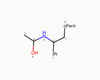 CCCCCCC(NC(C)O)C(C)C